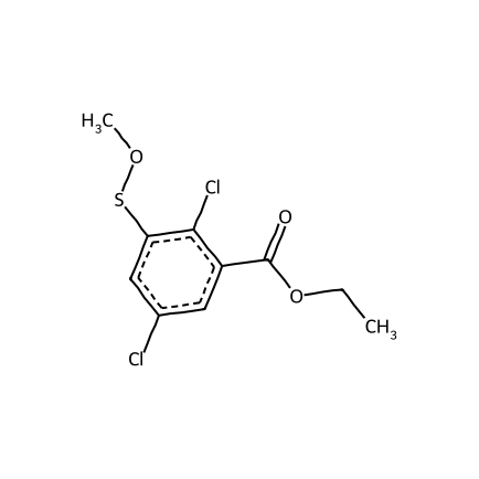 CCOC(=O)c1cc(Cl)cc(SOC)c1Cl